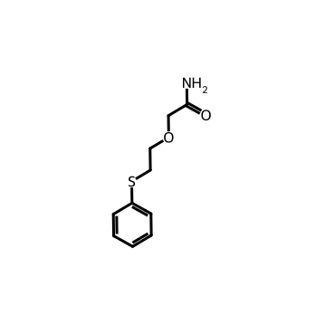 NC(=O)COCCSc1ccccc1